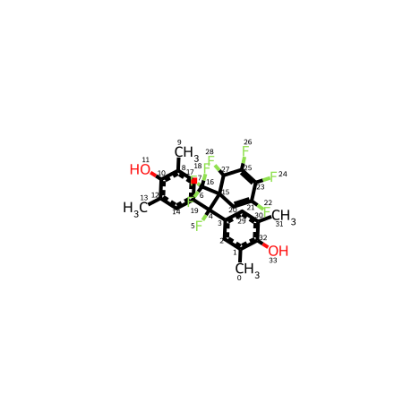 Cc1cc(C(F)(c2cc(C)c(O)c(C)c2)C2(C(F)(F)F)C=C(F)C(F)=C(F)C2F)cc(C)c1O